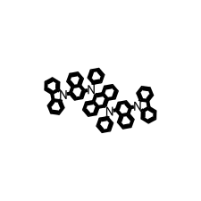 c1ccc(N(c2ccc(-n3c4ccccc4c4ccccc43)c3ccccc23)c2c3ccccc3c(N(c3ccccc3)c3ccc(-n4c5ccccc5c5ccccc54)c4ccccc34)c3ccccc23)cc1